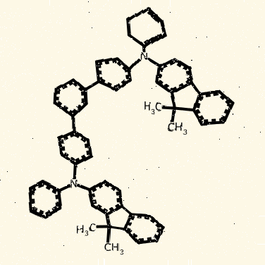 CC1(C)c2ccccc2-c2ccc(N(C3=CC=CCC3)c3ccc(-c4cccc(-c5ccc(N(c6ccccc6)c6ccc7c(c6)C(C)(C)c6ccccc6-7)cc5)c4)cc3)cc21